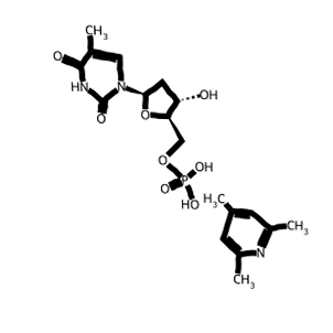 Cc1cc(C)nc(C)c1.Cc1cn([C@H]2C[C@H](O)[C@@H](COP(=O)(O)O)O2)c(=O)[nH]c1=O